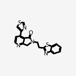 O=C1c2c(-c3cscn3)ccnc2CN1CCc1nc2ccccc2s1